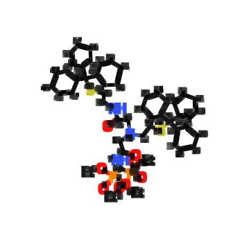 CCOP(=O)(OCC)C(NC(=O)CN(CCSC(c1ccccc1)(c1ccccc1)c1ccccc1)CC(=O)NCCSC(c1ccccc1)(c1ccccc1)c1ccccc1)P(=O)(OCC)OCC